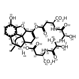 CN1CCC23c4c5ccc(O)c4OC2C(OC(=O)C[C@H](NC(=O)[C@@H](O)P)C(=O)O)=CC[C@@]3(OC(=O)C[C@H](NC(=O)C(O)P)C(=O)O)[C@H]1C5